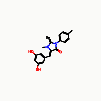 Cc1ccc(N2C(=O)C(=Cc3cc(O)cc(O)c3)N(C)C2=[Se])cc1